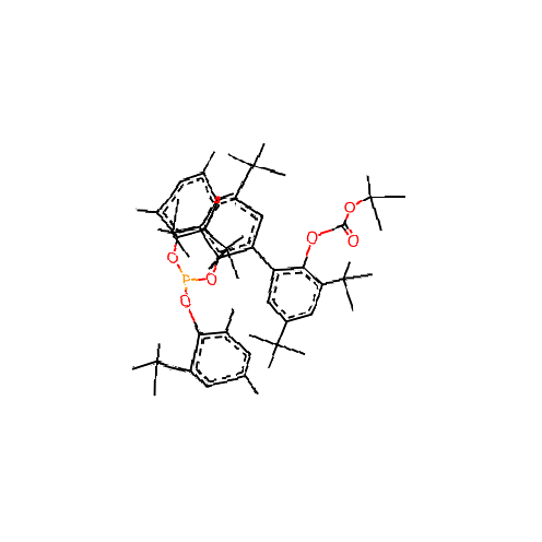 Cc1cc(C)c(OP(Oc2c(C)cc(C)cc2C(C)(C)C)Oc2c(-c3cc(C(C)(C)C)cc(C(C)(C)C)c3OC(=O)OC(C)(C)C)cc(C(C)(C)C)cc2C(C)(C)C)c(C(C)(C)C)c1